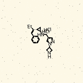 CCC(=Cc1ccccc1)[C@@H]1CC1NCc1cnn(C2CNC2)c1.Cl.Cl